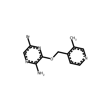 Cc1cnccc1COc1nc(Br)cnc1N